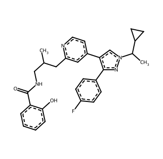 CC(CNC(=O)c1ccccc1O)Cc1cc(-c2cn(C(C)C3CC3)nc2-c2ccc(F)cc2)ccn1